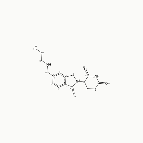 O=C1CCC(N2Cc3cc(CNCCCl)ccc3C2=O)C(=O)N1